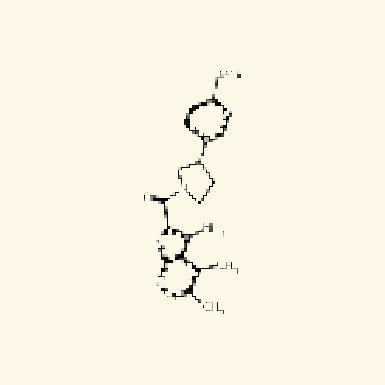 COc1ccc(C2CCN(C(=O)c3sc4nnc(C)c(C)c4c3N)C2)cc1